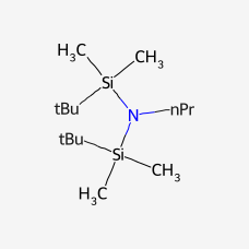 [CH2]CCN([Si](C)(C)C(C)(C)C)[Si](C)(C)C(C)(C)C